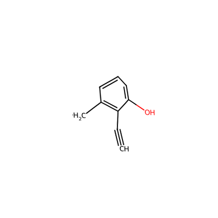 C#Cc1c([CH2])cccc1O